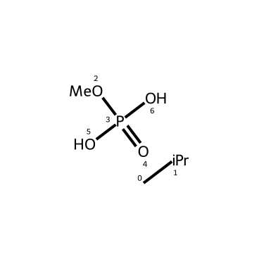 CC(C)C.COP(=O)(O)O